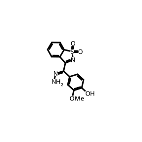 COc1cc(C(=NN)C2=NS(=O)(=O)c3ccccc32)ccc1O